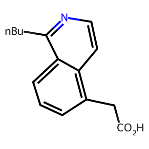 CCCCc1nccc2c(CC(=O)O)cccc12